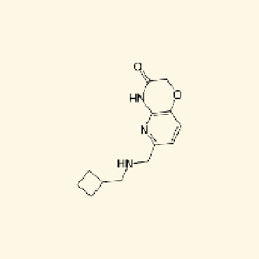 O=C1COc2ccc(CNCC3CCC3)nc2N1